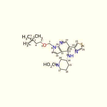 C[Si](C)(C)CCOCn1ccc2c(N[C@@H]3CCCN(C(=O)O)C3)c(-c3cscn3)cnc21